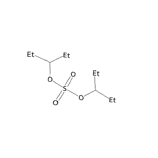 CCC(CC)OS(=O)(=O)OC(CC)CC